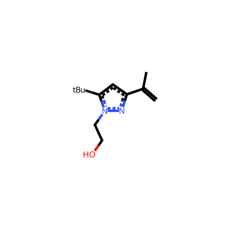 C=C(C)c1cc(C(C)(C)C)n(CCO)n1